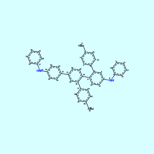 CCCCc1ccc(-c2cc(Nc3ccccc3)ccc2-c2ccc(-c3ccc(Nc4ccccc4)cc3)cc2-c2ccc(CCCC)cc2)cc1